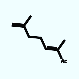 C=C(C)CCC=C(C)C(C)=O